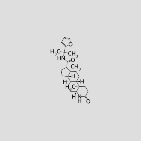 CC(C)(NC(=O)[C@H]1CC[C@H]2[C@@H]3CC[C@H]4NC(=O)CC[C@]4(C)[C@H]3CC[C@]12C)c1ccco1